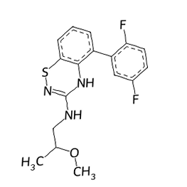 COC(C)CNC1=NSc2cccc(-c3cc(F)ccc3F)c2N1